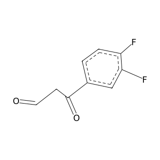 O=CCC(=O)c1ccc(F)c(F)c1